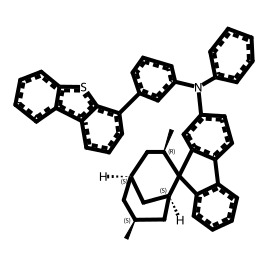 C[C@H]1C[C@@H]2C[C@H](C1)C1(c3ccccc3-c3ccc(N(c4ccccc4)c4cccc(-c5cccc6c5sc5ccccc56)c4)cc31)[C@H](C)C2